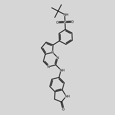 CC(C)(C)NS(=O)(=O)c1cccc(-c2ccc3cnc(Nc4ccc5c(c4)NC(=O)C5)nn23)c1